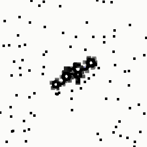 C=C(Nc1ccc(CN2CCCC2)cc1)c1n[nH]cc1/C=C/c1cccnc1